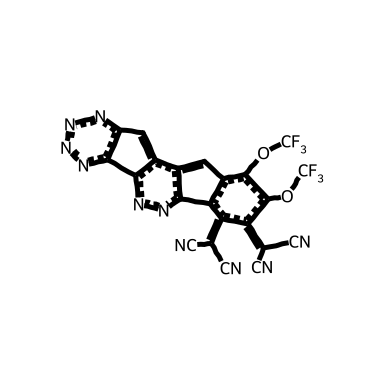 N#CC(C#N)=c1c(OC(F)(F)F)c(OC(F)(F)F)c2c(c1=C(C#N)C#N)-c1nnc3c(c1=C2)=Cc1nnnnc1-3